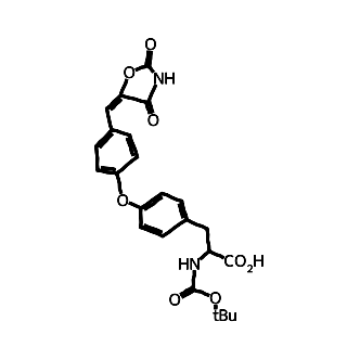 CC(C)(C)OC(=O)NC(Cc1ccc(Oc2ccc(C=C3OC(=O)NC3=O)cc2)cc1)C(=O)O